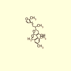 Cc1cc(C)c(C2=C(O)CC(C(C)CSc3ccoc3C)OC2=O)c(C)c1